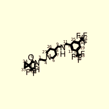 O=C(NCCN1CCC(CNCc2cc(C(F)(F)F)cc(C(F)(F)F)c2)CC1)C1(C(F)(F)F)CC1